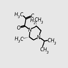 C=C(C)C(=O)N1[C@H](C)CN(C(C)C)C[C@@H]1C